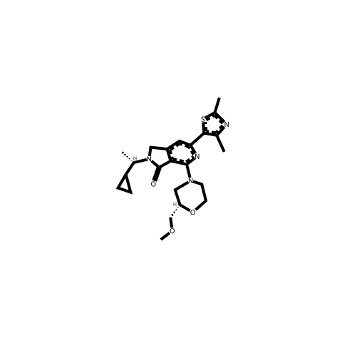 COC[C@@H]1CN(c2nc(-c3sc(C)nc3C)cc3c2C(=O)N([C@@H](C)C2CC2)C3)CCO1